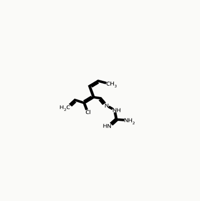 C=C/C(Cl)=C(\C=C/C)/C=N/NC(=N)N